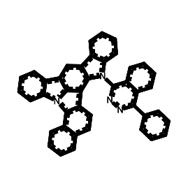 c1ccc(-c2nnc(-n3c4ccccc4c4cc5c6ccccc6n6c7c8ccccc8ccc7c(c43)c56)c3ccccc23)cc1